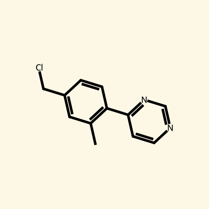 Cc1cc(CCl)ccc1-c1ccncn1